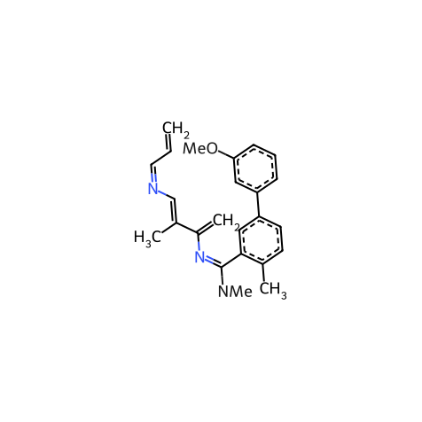 C=C/C=N\C=C(/C)C(=C)/N=C(/NC)c1cc(-c2cccc(OC)c2)ccc1C